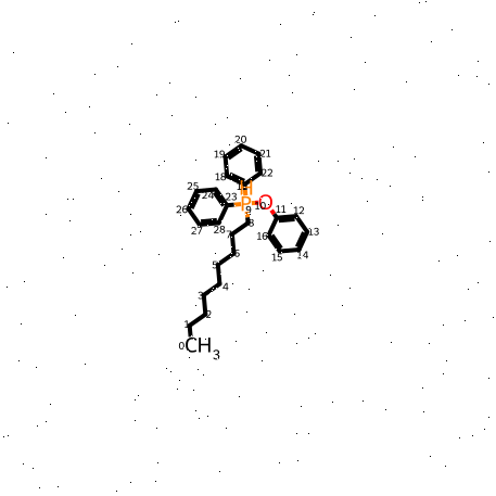 CCCCCCCCC[PH](Oc1ccccc1)(c1ccccc1)c1ccccc1